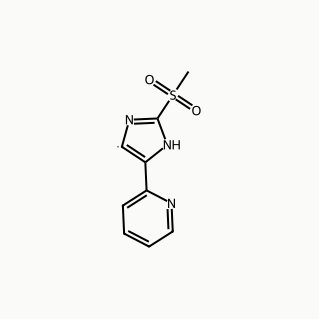 CS(=O)(=O)c1n[c]c(-c2ccccn2)[nH]1